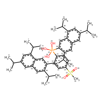 CC(C)c1cc(C(C)C)c2cc(-c3cc(S(C)(=O)=O)ccc3P(O)(O)(O)c3cc4c(C(C)C)cc(C(C)C)cc4cc3C(C)C)c(C(C)C)cc2c1